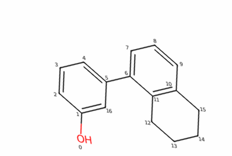 Oc1cccc(-c2cccc3c2CCCC3)c1